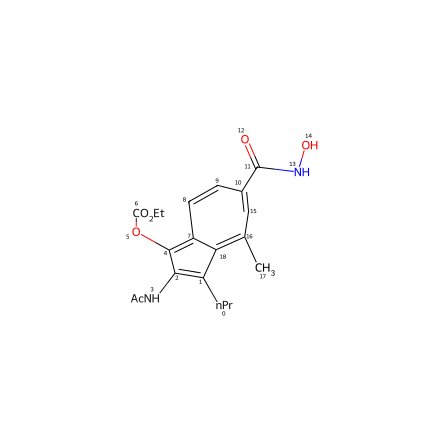 CCCc1c(NC(C)=O)c(OC(=O)OCC)c2ccc(C(=O)NO)cc(C)c1-2